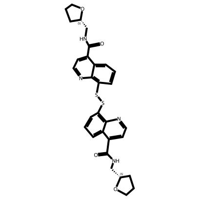 O=C(NC[C@@H]1CCCO1)c1ccnc2c(SSc3cccc4c(C(=O)NC[C@@H]5CCCO5)ccnc34)cccc12